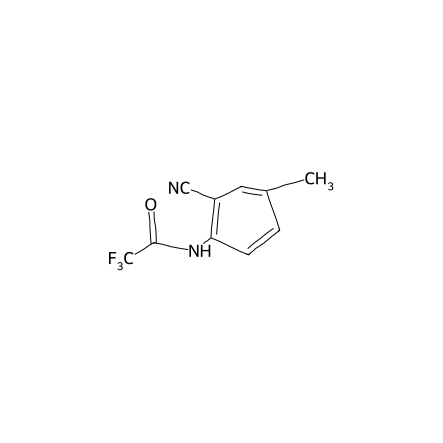 Cc1ccc(NC(=O)C(F)(F)F)c(C#N)c1